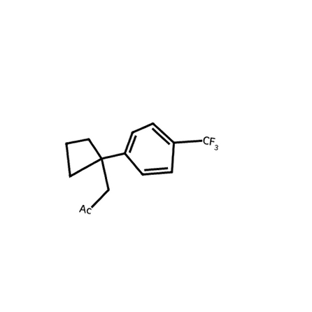 CC(=O)CC1(c2ccc(C(F)(F)F)cc2)CCC1